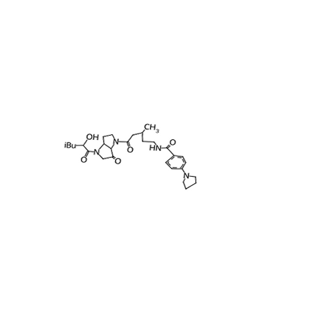 CCC(C)C(O)C(=O)N1CC(=O)C2C1CCN2C(=O)CC(C)CCNC(=O)c1ccc(N2CCCC2)cc1